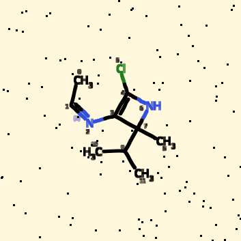 C/C=N\C1=C(Cl)NC1(C)C(C)C